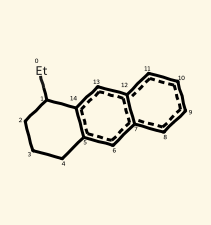 CCC1CCCc2cc3ccccc3cc21